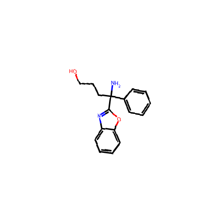 NC(CCCO)(c1ccccc1)c1nc2ccccc2o1